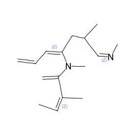 C=C/C=C(/CC(C)/C=N\C)N(C)C(=C)/C(C)=C\C